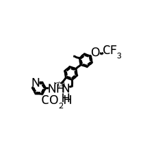 Cc1cc(OCC(F)(F)F)ccc1-c1ccc2c(c1)CN[C@@H]2CNc1cnccc1C(=O)O